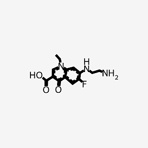 CCn1cc(C(=O)O)c(=O)c2cc(F)c(NCCN)cc21